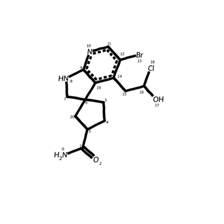 NC(=O)C1CCC2(CNc3ncc(Br)c(CC(O)Cl)c32)C1